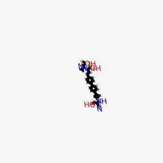 CC(O)c1nccn1C(/C=C/c1ccc(-c2ccc(C3CC(NC(C#N)CO)C3)cc2)cc1)CO